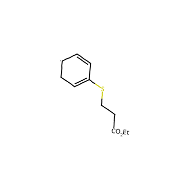 CCOC(=O)CCSC1=CC[CH]C=C1